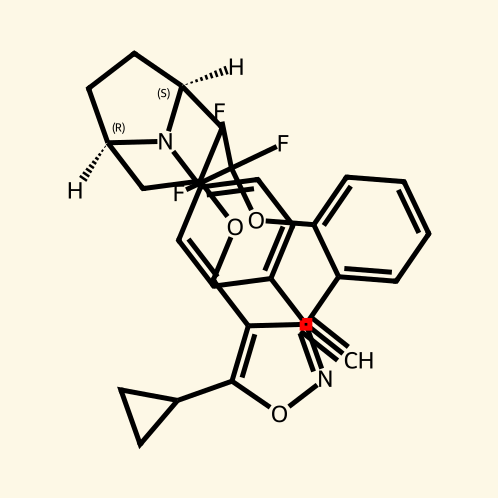 C#Cc1ccc(N2[C@@H]3CC[C@H]2CC(OCc2c(-c4ccccc4OC(F)(F)F)noc2C2CC2)C3)cc1